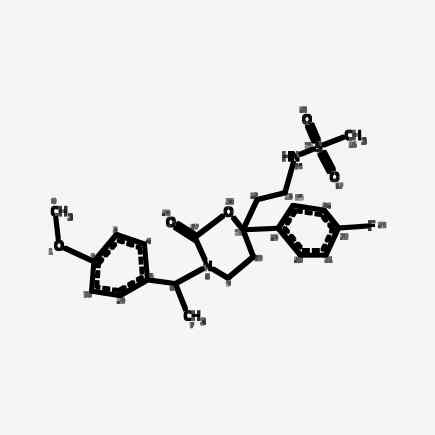 COc1ccc(C(C)N2CCC(CCNS(C)(=O)=O)(c3ccc(F)cc3)OC2=O)cc1